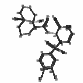 O=C1NC=CN(S(=O)(=O)c2ccc(Cl)c(Cl)c2)[C@@H]1CC(=O)N1CCC[C@@H]2CCCC[C@H]21